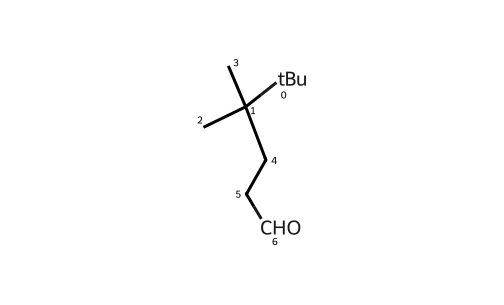 CC(C)(C)C(C)(C)CCC=O